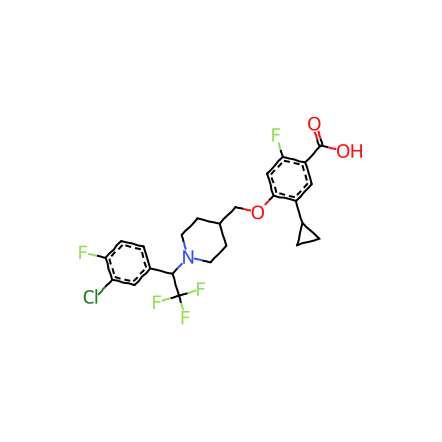 O=C(O)c1cc(C2CC2)c(OCC2CCN(C(c3ccc(F)c(Cl)c3)C(F)(F)F)CC2)cc1F